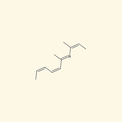 C\C=C/C=C\C(C)=N\C(C)=C/C